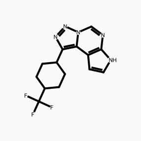 FC(F)(F)C1CCC(c2nnn3cnc4[nH]ccc4c23)CC1